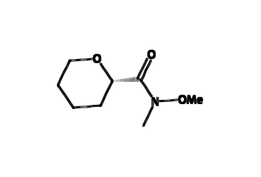 CON(C)C(=O)[C@@H]1CCCCO1